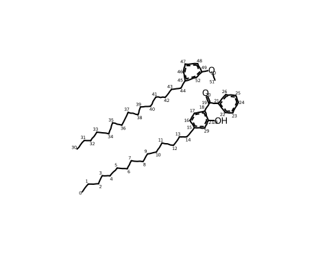 CCCCCCCCCCCCCCCc1ccc(C(=O)c2ccccc2)c(O)c1.CCCCCCCCCCCCCCCc1cccc(OC)c1